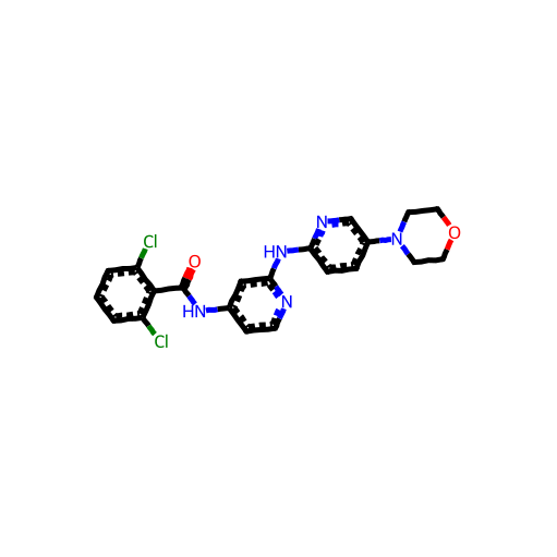 O=C(Nc1ccnc(Nc2ccc(N3CCOCC3)cn2)c1)c1c(Cl)cccc1Cl